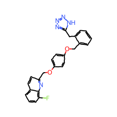 Fc1cccc2ccc(COc3ccc(OCc4ccccc4Cc4nnn[nH]4)cc3)nc12